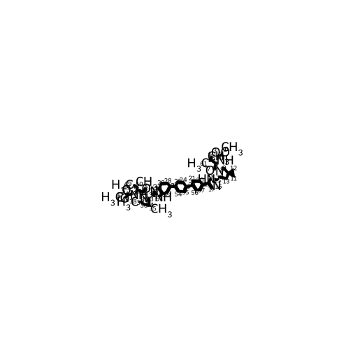 COC(=O)N[C@H](C(=O)N1CC2(CC2)C[C@H]1c1ncc(-c2ccc(-c3ccc(-c4ccc5nc([C@@H]6[C@@H](C)C[C@@H](C)N6C(=O)[C@@H](NC(=O)OC)C(C)C)[nH]c5c4)cc3)cc2)[nH]1)C(C)C